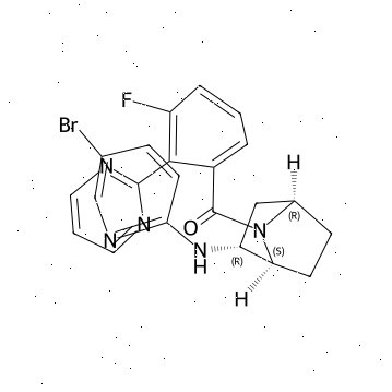 O=C(c1cccc(F)c1-c1ncccn1)N1[C@@H]2CC[C@H]1[C@H](Nc1ccc(Br)cn1)C2